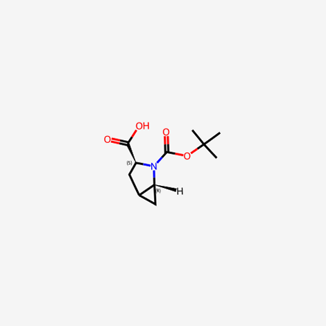 CC(C)(C)OC(=O)N1[C@@H]2CC2C[C@H]1C(=O)O